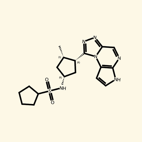 C[C@H]1C[C@@H](NS(=O)(=O)C2CCCC2)C[C@H]1c1nnc2cnc3[nH]ccc3n12